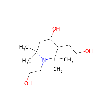 CC1(C)CC(O)C(CCO)C(C)(C)N1CCO